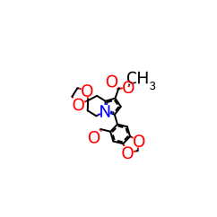 COC(=O)c1cc(-c2cc3c(cc2C=O)OCO3)n2c1CC1(CC2)OCCO1